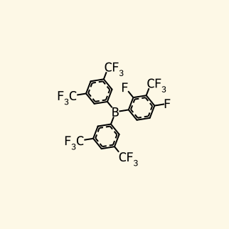 Fc1ccc(B(c2cc(C(F)(F)F)cc(C(F)(F)F)c2)c2cc(C(F)(F)F)cc(C(F)(F)F)c2)c(F)c1C(F)(F)F